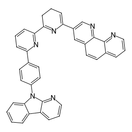 C1=C(c2cnc3c(ccc4cccnc43)c2)N=C(c2cccc(-c3ccc(-n4c5ccccc5c5cccnc54)cc3)n2)CC1